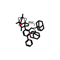 CC12CC3(C)OC(C)(CC(C)(O1)C3(CP)c1ccc(-c3ccccc3)cc1CP(C13CC4CC(CC(C4)C1)C3)C13CC4CC(CC(C4)C1)C3)O2